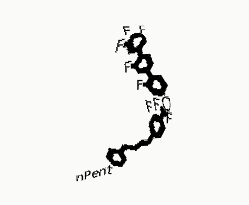 CCCCCc1ccc(CC/C=C/c2ccc(C(F)(F)Oc3ccc(-c4ccc(-c5cc(F)c(F)c(F)c5)c(F)c4)c(F)c3)c(F)c2)cc1